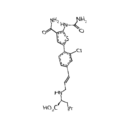 CC(C)C[C@H](NCC=Cc1ccc(-c2cc(C(N)=O)c(NC(N)=O)s2)c(Cl)c1)C(=O)O